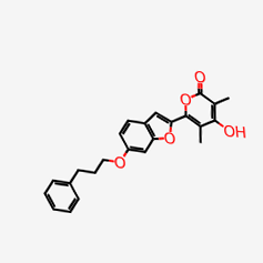 Cc1c(-c2cc3ccc(OCCCc4ccccc4)cc3o2)oc(=O)c(C)c1O